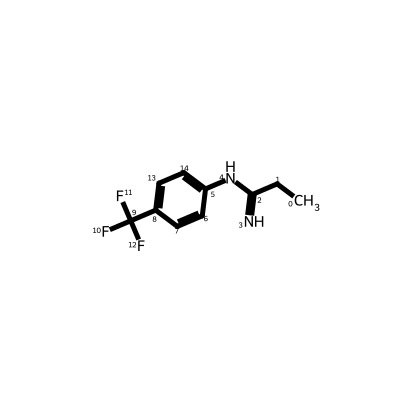 CCC(=N)Nc1ccc(C(F)(F)F)cc1